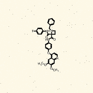 COc1cc2nccc(Oc3ccc(NC(=O)C4(C(=O)Nc5ccc(F)cc5)CCN4Cc4ccccc4)cc3)c2cc1OC